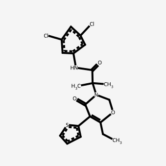 CCC1=C(c2cccs2)C(=O)N(C(C)(C)C(=O)Nc2cc(Cl)cc(Cl)c2)CO1